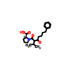 CC(C)C(C(=O)CCCCc1ccccc1)C(=O)N1CCC[C@H]1C(=O)O